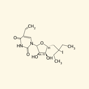 C=Cc1cn(C2O[C@H](CC(I)(CC)CC)[C@@H](O)[C@H]2O)c(=O)[nH]c1=O